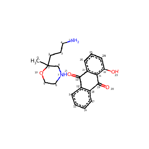 CC1(CCCN)CNCCO1.O=C1c2ccccc2C(=O)c2c(O)cccc21